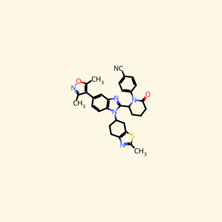 Cc1nc2c(s1)CC(n1c(C3CCCC(=O)N3c3ccc(C#N)cc3)nc3cc(-c4c(C)noc4C)ccc31)CC2